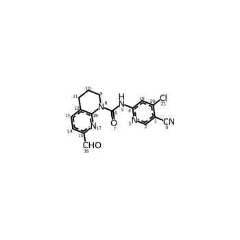 N#Cc1cnc(NC(=O)N2CCCc3ccc(C=O)nc32)cc1Cl